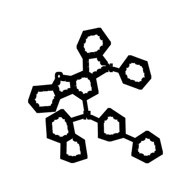 c1ccc(-c2ccc(N(c3cccc4ccccc34)c3cc4c(c5ccccc5n4-c4ccccc4)c4oc5ccccc5c34)cc2)cc1